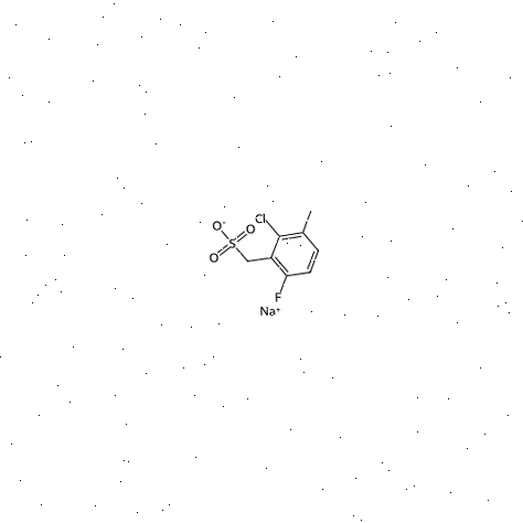 Cc1ccc(F)c(CS(=O)(=O)[O-])c1Cl.[Na+]